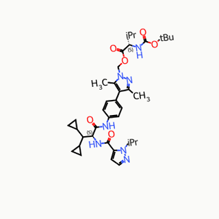 Cc1nn(COC(=O)[C@@H](NC(=O)OC(C)(C)C)C(C)C)c(C)c1-c1ccc(NC(=O)[C@@H](NC(=O)c2ccnn2C(C)C)C(C2CC2)C2CC2)cc1